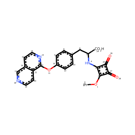 CC(C)Oc1c(NC(Cc2ccc(Oc3nccc4cnccc34)cc2)C(=O)O)c(=O)c1=O